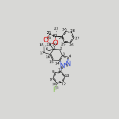 CC12Cc3cnn(-c4ccc(F)cc4)c3C=C1CC[C@@]21OC[C@@](C)(c2ccccc2)O1